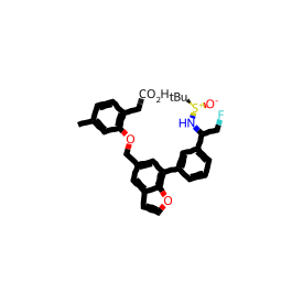 Cc1ccc(CC(=O)O)c(OCc2cc(-c3cccc(C(CF)N[S@+]([O-])C(C)(C)C)c3)c3occc3c2)c1